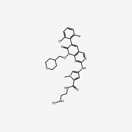 CCNCCNC(=O)c1cc(Nc2ncc3cc(-c4c(F)cccc4Cl)c(=O)n(OCC4CCOCC4)c3n2)cn1C